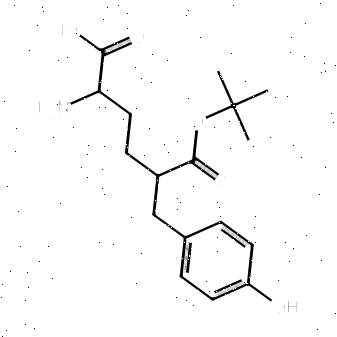 CC(C)(C)OC(=O)C(CCC(N)C(=O)O)Cc1ccc(O)cc1